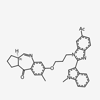 CC(=O)c1ccc2nc(-c3cn(C)c4ccccc34)n(CCCOc3cc4c(cc3C)C(=O)C3CCC[C@H]3C=N4)c2c1